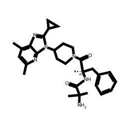 Cc1cc(C)c2nc(C3CC3)n(C3CCN(C(=O)[C@@](C)(Cc4ccccc4)NC(=O)C(C)(C)N)CC3)c2n1